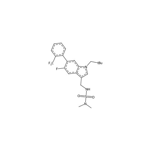 CN(C)S(=O)(=O)NCc1cn(CC(C)(C)C)c2cc(-c3ccccc3C(F)(F)F)c(F)cc12